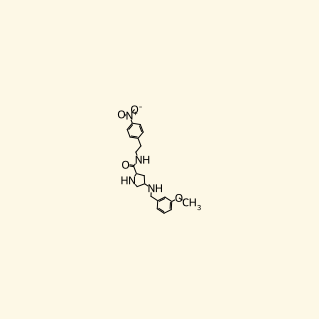 COc1cccc(CNC2CNC(C(=O)NCCc3ccc([N+](=O)[O-])cc3)C2)c1